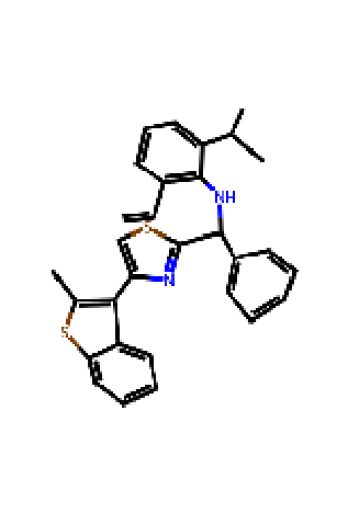 C=Cc1cccc(C(C)C)c1NC(c1ccccc1)c1nc(-c2c(C)sc3ccccc23)cs1